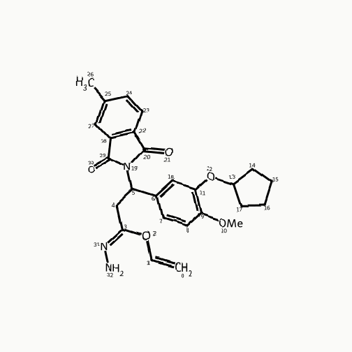 C=CO/C(CC(c1ccc(OC)c(OC2CCCC2)c1)N1C(=O)c2ccc(C)cc2C1=O)=N\N